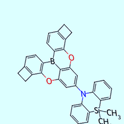 C[Si]1(C)c2ccccc2N(c2cc3c4c(c2)Oc2c(ccc5c2CC5)B4c2ccc4c(c2O3)CC4)c2ccccc21